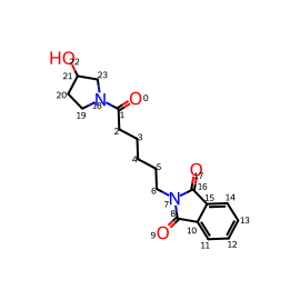 O=C(CCCCCN1C(=O)c2ccccc2C1=O)N1CCC(O)C1